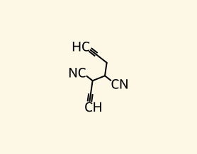 C#CCC(C#N)C(C#C)C#N